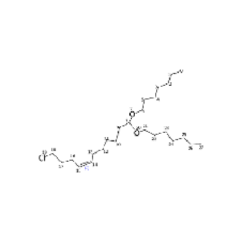 CCCCCCCOC(CCCCC/C=C\CCCCl)OCCCCCCC